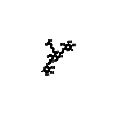 C[C@@H]1O[C@@H](OCCNC(C=O)N(C(=O)CCCCC(=O)O)C(C=O)NCCO[C@@H]2O[C@@H](C)[C@@H](O)[C@@H](O)[C@@H]2O)[C@@H](O)[C@H](O)[C@@H]1O